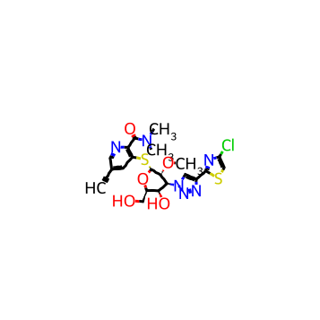 C#Cc1cnc(C(=O)N(C)C)c(S[C@H]2O[C@H](CO)[C@H](O)[C@H](n3cc(-c4nc(Cl)cs4)nn3)[C@H]2OC)c1